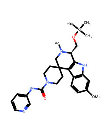 COc1ccc2c3c([nH]c2c1)[C@H](CO[Si](C)(C)C(C)(C)C)N(C(C)=O)CC31CCN(C(=O)Nc2cccnc2)CC1